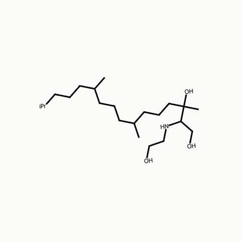 CC(C)CCCC(C)CCCC(C)CCCC(C)(O)C(CO)NCCO